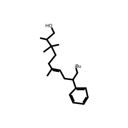 CCC(C)CC(C/C=C(\C)CCC(C)(C)C(C)CO)c1ccccc1